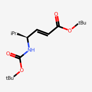 CC(C)[C@@H](/C=C/C(=O)OC(C)(C)C)NC(=O)OC(C)(C)C